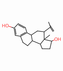 C=C(C)C1CC2c3ccc(O)cc3CCC2C2CCC(O)C12C